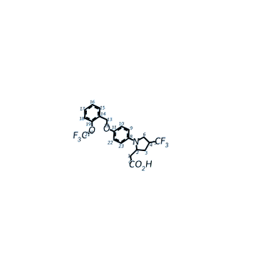 O=C(O)CC1CC(C(F)(F)F)CN1c1ccc(OCc2ccccc2OC(F)(F)F)cc1